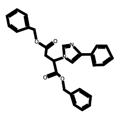 O=C(CC(C(=O)OCc1ccccc1)n1cnc(-c2ccccc2)c1)OCc1ccccc1